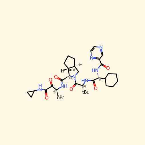 CCC[C@H](NC(=O)[C@H]1[C@@H]2CCC[C@H]2CN1C(=O)[C@H](NC(=O)[C@H](NC(=O)c1cnccn1)C1CCCCC1)C(C)(C)C)C(=O)C(=O)NC1CC1